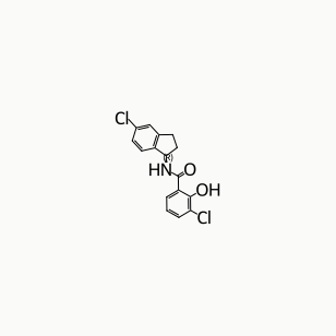 O=C(N[C@@H]1CCc2cc(Cl)ccc21)c1cccc(Cl)c1O